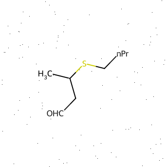 CCCCSC(C)CC=O